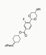 CCCCC[C@H]1CC[C@H](OC(=O)c2ccc(C3OCC(CCC)CO3)c(F)c2)CC1